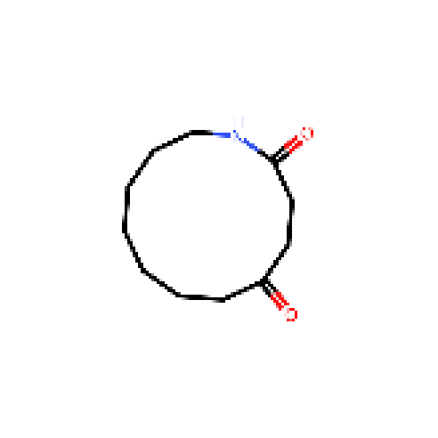 O=C1CCCCCCCNC(=O)CC1